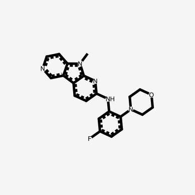 Cn1c2ccncc2c2ccc(Nc3cc(F)ccc3N3CCOCC3)nc21